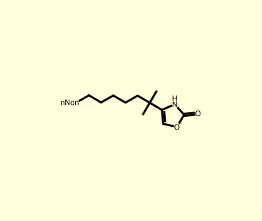 CCCCCCCCCCCCCCC(C)(C)c1coc(=O)[nH]1